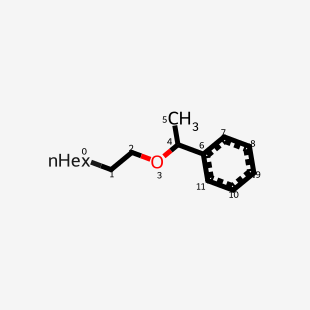 CCCCCCCCOC(C)c1cc[c]cc1